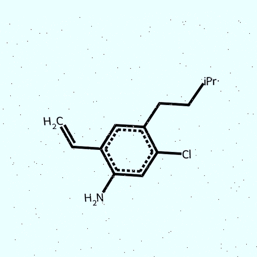 C=Cc1cc(CC[C](C)C)c(Cl)cc1N